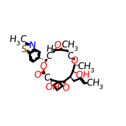 CC=CC[C@H]1C(=O)C2(CCC2)[C@@H](O)CC(=O)O[C@H](c2ccc3sc(C)nc3c2)C[C@@H]2O[C@]2(C)CCO[C@H](C)[C@H]1O